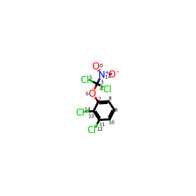 O=[N+]([O-])C(Cl)(Cl)Oc1cccc(Cl)c1Cl